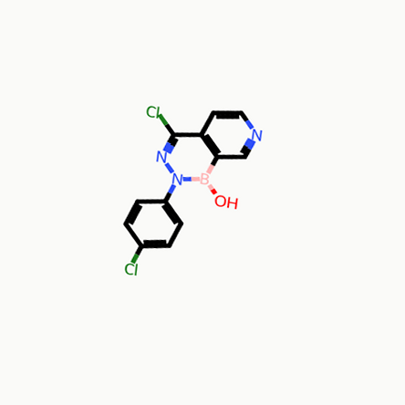 OB1c2cnccc2C(Cl)=NN1c1ccc(Cl)cc1